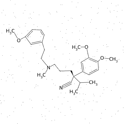 COc1cccc(CCN(C)CCC[C@@](C#N)(c2ccc(OC)c(OC)c2)C(C)C)c1